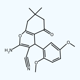 COc1ccc(OC)c(C2C(C#N)=C(N)OC3=C2C(=O)CC(C)(C)C3)c1